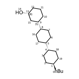 CCCC[C@H]1CC[C@H](C2CCC([C@H]3CCC[C@@H](O)C3)CC2)CC1